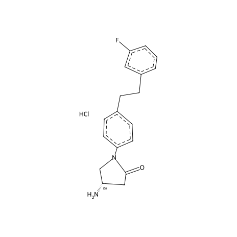 Cl.N[C@H]1CC(=O)N(c2ccc(CCc3cccc(F)c3)cc2)C1